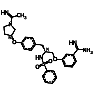 CC(=N)N1CC[C@H](Oc2ccc(C[C@@H](COc3cccc(C(=N)N)c3)NS(=O)(=O)c3ccccc3)cc2)C1